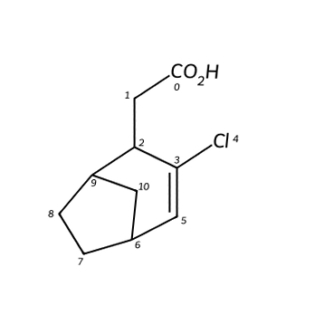 O=C(O)CC1C(Cl)=CC2CCC1C2